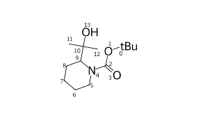 CC(C)(C)OC(=O)N1CCCCC1C(C)(C)O